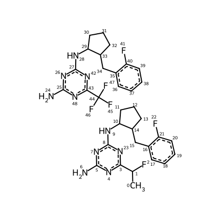 CC(F)c1nc(N)nc(NC2CCCC2Cc2ccccc2F)n1.Nc1nc(NC2CCCC2Cc2ccccc2F)nc(C(F)(F)F)n1